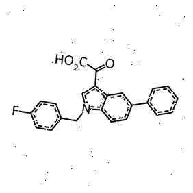 O=C(O)C(=O)c1cn(Cc2ccc(F)cc2)c2ccc(-c3ccccc3)cc12